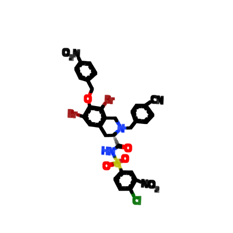 N#Cc1ccc(CN2Cc3c(cc(Br)c(OCc4ccc([N+](=O)[O-])cc4)c3Br)C[C@H]2C(=O)NS(=O)(=O)c2ccc(Cl)c([N+](=O)[O-])c2)cc1